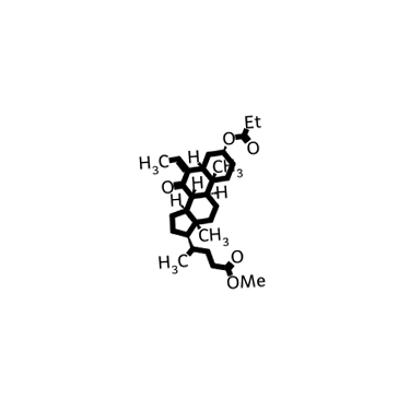 CC=C1C(=O)[C@@H]2[C@H](CC[C@]3(C)[C@@H](C(C)CCC(=O)OC)CC[C@@H]23)[C@@]2(C)CC[C@@H](OC(=O)CC)C[C@@H]12